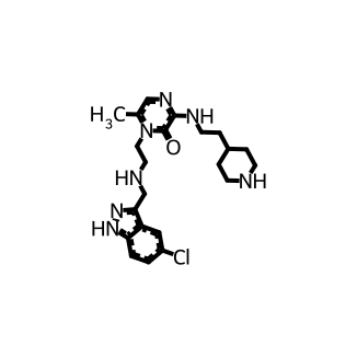 Cc1cnc(NCCC2CCNCC2)c(=O)n1CCNCc1n[nH]c2ccc(Cl)cc12